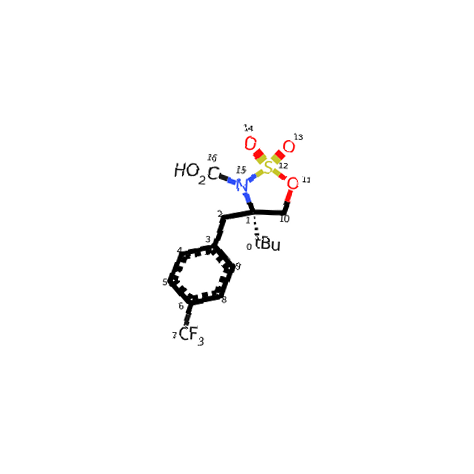 CC(C)(C)[C@@]1(Cc2ccc(C(F)(F)F)cc2)COS(=O)(=O)N1C(=O)O